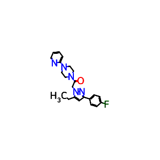 CCc1cc(-c2ccc(F)cc2)nn1CC(=O)N1CCN(c2ccccn2)CC1